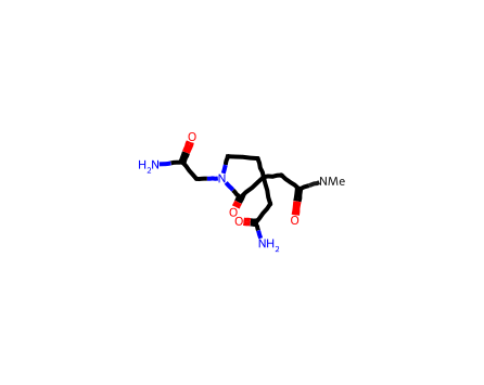 CNC(=O)CC1(CC(N)=O)CCN(CC(N)=O)C1=O